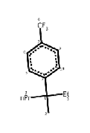 CCCC(C)(CC)c1ccc(C(F)(F)F)cc1